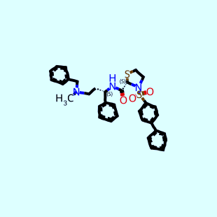 CN(CC[C@H](NC(=O)[C@@H]1SCCN1S(=O)(=O)c1ccc(-c2ccccc2)cc1)c1ccccc1)Cc1ccccc1